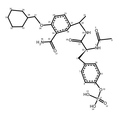 CC(=O)N[C@@H](Cc1ccc(OP(=O)(O)O)cc1)C(=O)NC(C)c1ccc(OCC2CCCCC2)c(C(N)=O)c1